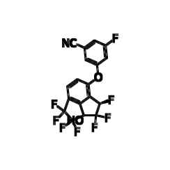 N#Cc1cc(F)cc(Oc2ccc3c4c2[C@@H](F)C(F)(F)[C@]4(O)C(F)(F)C3(F)F)c1